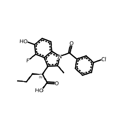 CCC[C@H](C(=O)O)c1c(C)n(C(=O)c2cccc(Cl)c2)c2ccc(O)c(F)c12